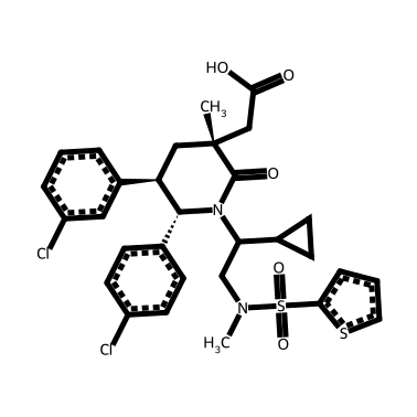 CN(CC(C1CC1)N1C(=O)[C@@](C)(CC(=O)O)C[C@H](c2cccc(Cl)c2)[C@H]1c1ccc(Cl)cc1)S(=O)(=O)c1cccs1